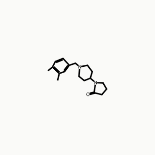 Cc1ccc(CN2CCC(N3CCCC3=O)CC2)cc1C